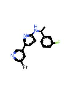 CCc1cncc(-c2ccc(NC(C)c3cccc(F)c3)nc2)c1